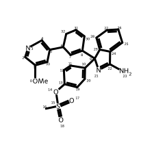 COc1cncc(C2C=C(C3(c4ccc(OS(C)(=O)=O)cc4)N=C(N)c4ccccc43)C=CC2)c1